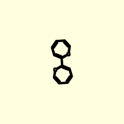 C1=CC=C(C2=CC=CC=CO2)OC=C1